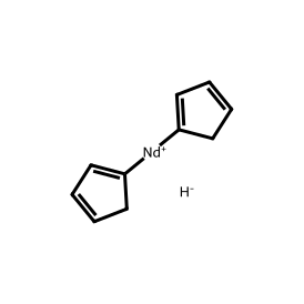 C1=CC[C]([Nd+][C]2=CC=CC2)=C1.[H-]